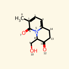 Cc1ccc2n(c1=O)C(CO)C(=O)CC2